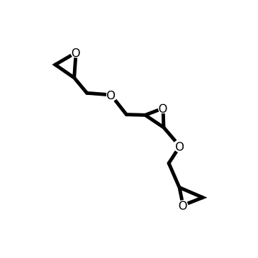 C(OCC1OC1OCC1CO1)C1CO1